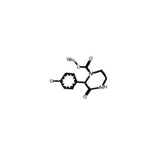 CC(C)(C)OC(=O)N1CCNC(=O)C1c1ccc(Cl)cc1